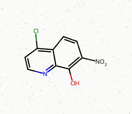 O=[N+]([O-])c1ccc2c(Cl)ccnc2c1O